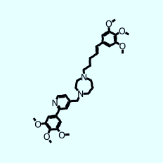 COc1cc(C=CCCCN2CCCN(Cc3ccnc(-c4cc(OC)c(OC)c(OC)c4)c3)CC2)cc(OC)c1OC